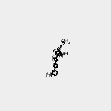 COCCOc1cc2[nH]nc(-c3cc(-c4ccc(N5CCCNCC5)cc4)no3)c2cc1F